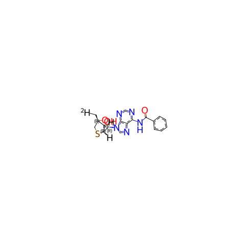 [2H]C[C@@]12CS[C@@H]([C@H](n3cnc4c(NC(=O)c5ccccc5)ncnc43)O1)[C@@H]2O